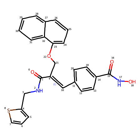 O=C(NCc1cccs1)/C(=C/c1ccc(C(=O)NO)cc1)COc1cccc2ccccc12